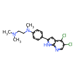 CN(C)CCN(C)c1ccc(-c2cc3c(Cl)c(Cl)cnc3[nH]2)cc1